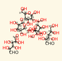 O=C[C@H](O)[C@@H](O)[C@H](O)[C@H](O)CO.O=C[C@H](O)[C@@H](O)[C@H](O)[C@H](O)CO.OC[C@H]1O[C@@H](O[C@H]2[C@H](O)[C@@H](O)[C@H](O)O[C@@H]2CO)[C@H](O)[C@@H](O)[C@H]1O.OC[C@H]1O[C@](O)(CO)[C@@H](O)[C@@H]1O